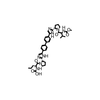 CCC[C@H](NC(=O)O)C(=O)N1CCC[C@H]1c1ncc(-c2ccc(-c3ccc(-c4cnc([C@@H]5CCCN5C(=O)[C@@H](NC(=O)OC)C(C)C)[nH]4)cc3)cc2)[nH]1